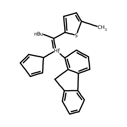 CCCC[C](c1ccc(C)s1)=[Hf]([c]1cccc2c1Cc1ccccc1-2)[CH]1C=CC=C1